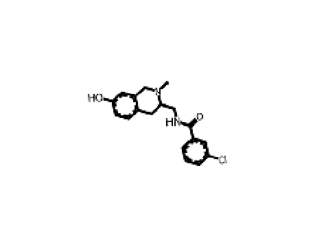 CN1Cc2cc(O)ccc2CC1CNC(=O)c1cccc(Cl)c1